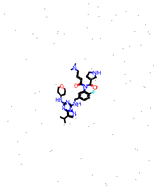 CC(C)c1cnn2c(NCc3ccc(F)c(N(C(=O)C=CCN(C)C)C(=O)C4CCNC4)c3)nc(NC3CCOCC3)nc12